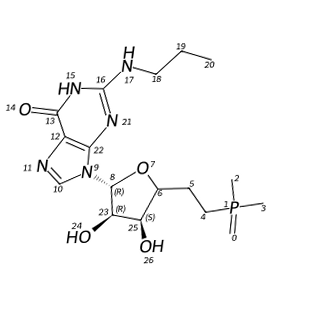 C=P(C)(C)CCC1O[C@@H](n2cnc3c(=O)[nH]c(NCCC)nc32)[C@H](O)[C@@H]1O